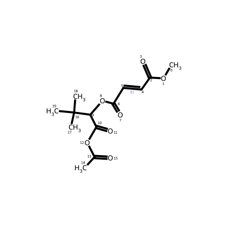 COC(=O)/C=C/C(=O)OC(C(=O)OC(C)=O)C(C)(C)C